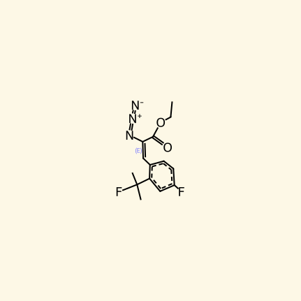 CCOC(=O)/C(=C\c1ccc(F)cc1C(C)(C)F)N=[N+]=[N-]